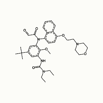 CCN(CC)C(=O)Nc1cc(C(C)(C)C)cc(N(C(=O)C=O)c2ccc(OCCN3CCOCC3)c3ccccc23)c1OC